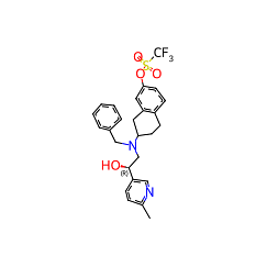 Cc1ccc([C@@H](O)CN(Cc2ccccc2)C2CCc3ccc(OS(=O)(=O)C(F)(F)F)cc3C2)cn1